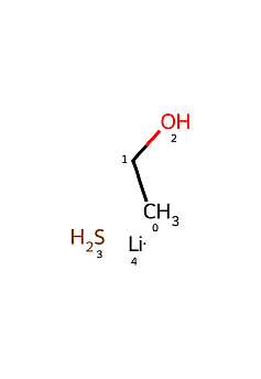 CCO.S.[Li]